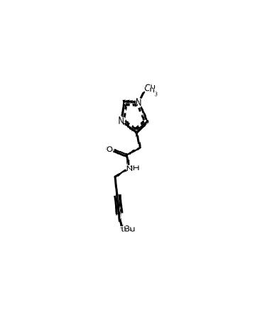 Cn1cnc(CC(=O)NCC#CC(C)(C)C)c1